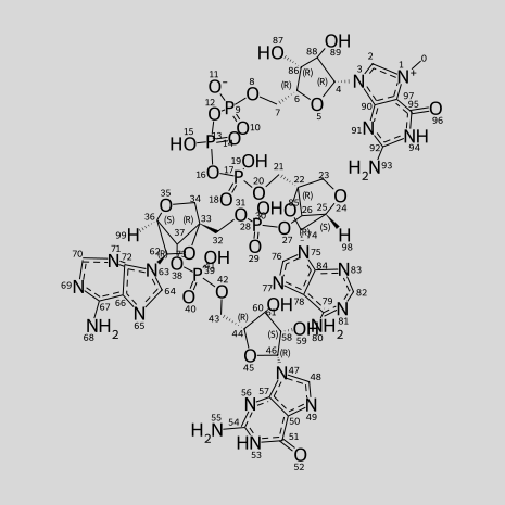 C[n+]1cn([C@@H]2O[C@H](COP(=O)([O-])OP(=O)(O)OP(=O)(O)OC[C@]34CO[C@@H](C3OP(=O)(O)OC[C@]35CO[C@@H](C3OP(=O)(O)OC[C@H]3O[C@@H](n6cnc7c(=O)[nH]c(N)nc76)[C@@H](O)C3O)[C@H](n3cnc6c(N)ncnc63)O5)[C@H](n3cnc5c(N)ncnc53)O4)[C@H](O)C2O)c2nc(N)[nH]c(=O)c21